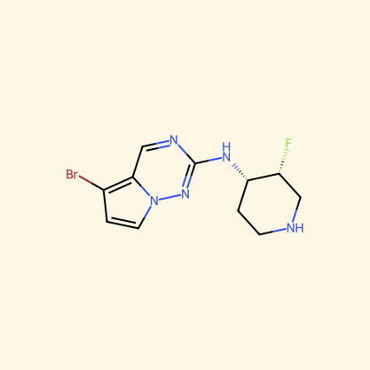 F[C@@H]1CNCC[C@@H]1Nc1ncc2c(Br)ccn2n1